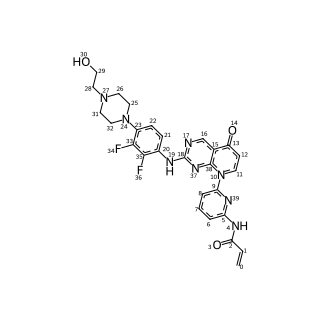 C=CC(=O)Nc1cccc(-n2ccc(=O)c3cnc(Nc4ccc(N5CCN(CCO)CC5)c(F)c4F)nc32)n1